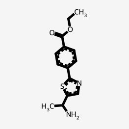 CCOC(=O)c1ccc(-c2ncc(C(C)N)s2)cc1